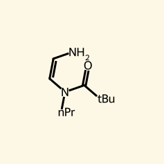 CCCN(/C=C\N)C(=O)C(C)(C)C